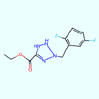 CCOC(=O)C1=NN(Cc2cc(F)ccc2F)NN1